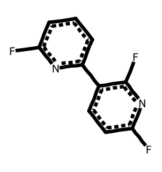 Fc1cccc(-c2ccc(F)nc2F)n1